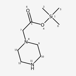 C[Si](C)(C)OC(=O)CN1CCNCC1